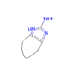 [NH]c1nc2c([nH]1)CCCC2